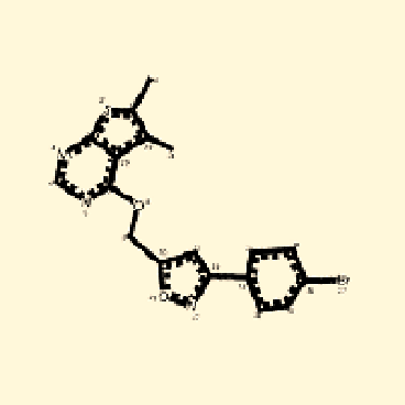 Cc1sc2ncnc(OCc3cc(-c4ccc(Br)cc4)no3)c2c1C